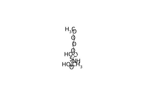 COCCOCCOCCOc1cccc(C2NC(C)(C(=O)O)CS2)c1O